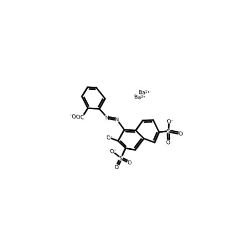 O=C([O-])c1ccccc1N=Nc1c([O-])c(S(=O)(=O)[O-])cc2cc(S(=O)(=O)[O-])ccc12.[Ba+2].[Ba+2]